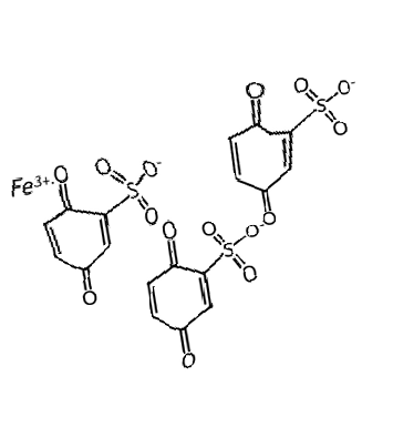 O=C1C=CC(=O)C(S(=O)(=O)[O-])=C1.O=C1C=CC(=O)C(S(=O)(=O)[O-])=C1.O=C1C=CC(=O)C(S(=O)(=O)[O-])=C1.[Fe+3]